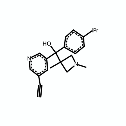 C#Cc1cncc(C(O)(c2ccc(C(C)C)cc2)C2(C)CN(C)C2)c1